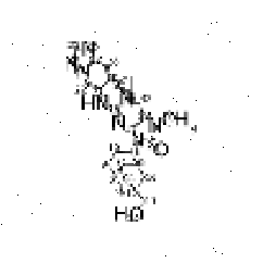 Cn1c(=O)n(C2C3CC4CC2CC(CO)(C4)C3)c2nc(Nc3cn4ncnc4cc3Cl)ncc21